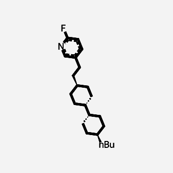 CCCC[C@H]1CC[C@H]([C@H]2CC[C@H](CCc3ccc(F)nc3)CC2)CC1